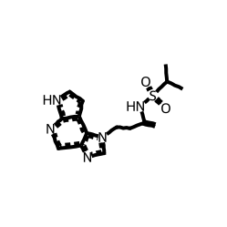 C=C(CCn1cnc2cnc3[nH]ccc3c21)NS(=O)(=O)C(C)C